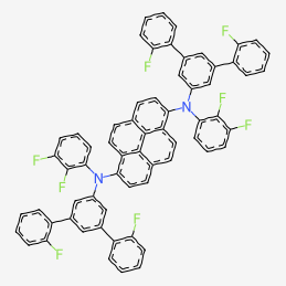 Fc1ccccc1-c1cc(-c2ccccc2F)cc(N(c2cccc(F)c2F)c2ccc3ccc4c(N(c5cc(-c6ccccc6F)cc(-c6ccccc6F)c5)c5cccc(F)c5F)ccc5ccc2c3c54)c1